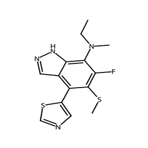 CCN(C)c1c(F)c(SC)c(-c2cncs2)c2cn[nH]c12